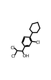 OC(c1ccc(C2CCCCC2)c(Cl)c1)C(Cl)Cl